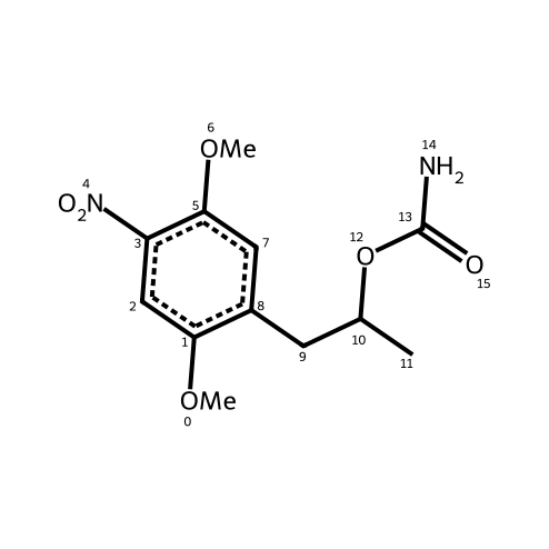 COc1cc([N+](=O)[O-])c(OC)cc1CC(C)OC(N)=O